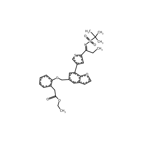 CCOC(=O)Cc1ccccc1OCc1cc(-c2csc(C(CC)=NS(=O)(=O)C(C)(C)C)c2)c2occc2c1